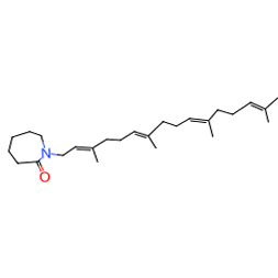 CC(C)=CCC/C(C)=C/CC/C(C)=C/CC/C(C)=C/CN1CCCCCC1=O